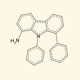 Nc1cccc2c3cccc(-c4ccccc4)c3n(-c3ccccc3)c12